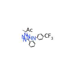 CC(=O)C(C)n1nnc(-c2ccccc2Nc2ccc(C(F)(F)F)cc2)n1